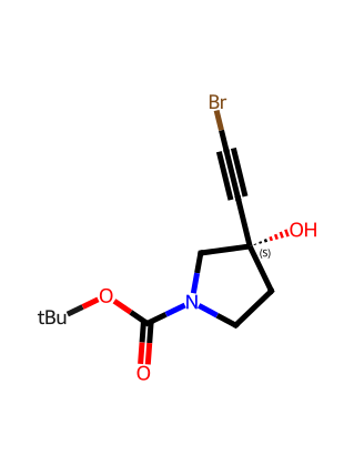 CC(C)(C)OC(=O)N1CC[C@](O)(C#CBr)C1